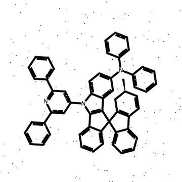 C[C@H]1C=CC2=C(C1)C1(c3ccccc32)c2ccccc2-c2c1c1cc(N(c3ccccc3)c3ccccc3)ccc1n2-c1cc(-c2ccccc2)nc(-c2ccccc2)c1